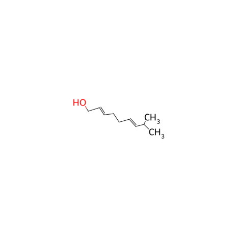 CC(C)C=CCCC=CCO